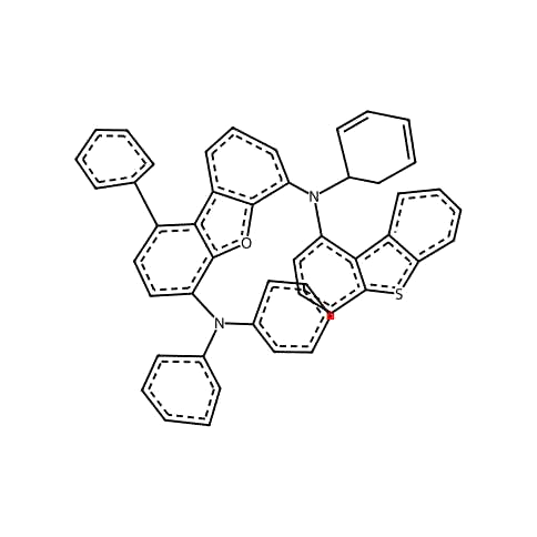 C1=CCC(N(c2cccc3c2oc2c(N(c4ccccc4)c4ccccc4)ccc(-c4ccccc4)c23)c2cccc3sc4ccccc4c23)C=C1